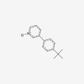 CC(C)(C)c1ccc(-c2ccc[n+]([O-])c2)cc1